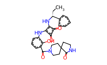 CC[C@@H](Nc1c(Nc2cccc(C(=O)N3CCC4(CCNC4=O)CC3)c2O)c(=O)c1=O)c1ccccc1